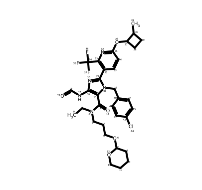 CCN(CCCOC1CCCCO1)C(=O)c1c(NC=O)nc(-c2ccc(OC3CCC3C)nc2C(F)(F)F)n1Cc1ccc(Cl)cc1